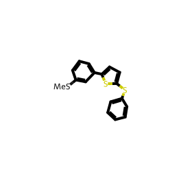 CSc1cccc(-c2ccc(Sc3ccccc3)s2)c1